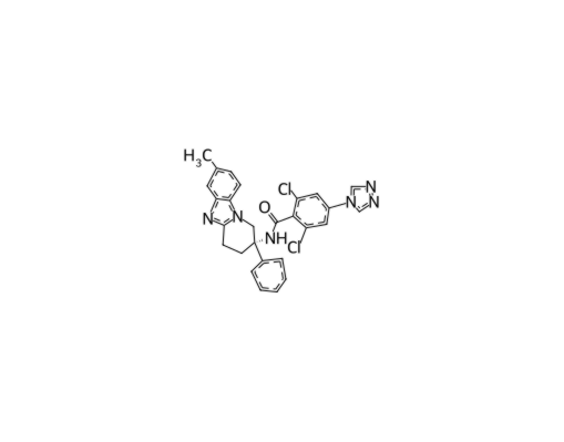 Cc1ccc2c(c1)nc1n2C[C@@](NC(=O)c2c(Cl)cc(-n3cnnc3)cc2Cl)(c2ccccc2)CC1